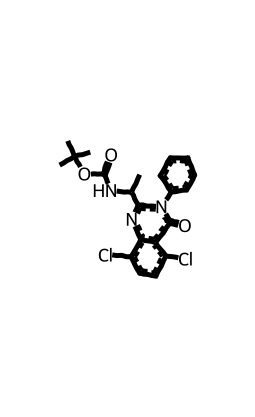 CC(NC(=O)OC(C)(C)C)c1nc2c(Cl)ccc(Cl)c2c(=O)n1-c1ccccc1